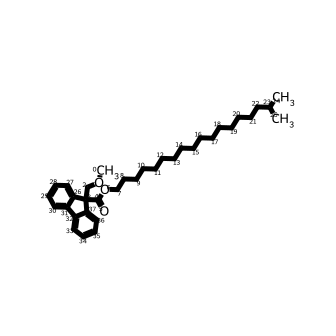 COCC1(C(=O)OCCCCCCCCCCCCCCCCC(C)C)c2ccccc2-c2ccccc21